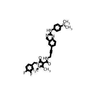 Cc1c(C(=O)NCC#Cc2ccc3nc(Nc4ccc(N(C)C)cc4)ncc3c2)c(=O)n(Cc2ccc(F)c(F)c2)n1C